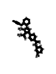 CC#CCN1CCCC[C@H]1c1nc(-c2ccc(C(=O)Nc3cc(C#N)ccn3)cc2)c(C(N)=O)n1N